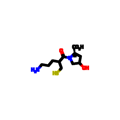 NCCCC(CS)C(=O)N1CC(O)C[C@H]1C(=O)O